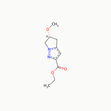 CCOC(=O)c1cc2n(n1)C[C@H](OC)C2